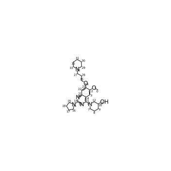 COc1cc2c(N3CCCC(O)C3)nc(N3CCCC3)nc2cc1OCCCN1CCCCC1